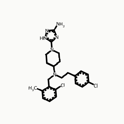 Cc1cccc(Cl)c1CN(CCc1ccc(Cl)cc1)C1CCN(c2nc(N)n[nH]2)CC1